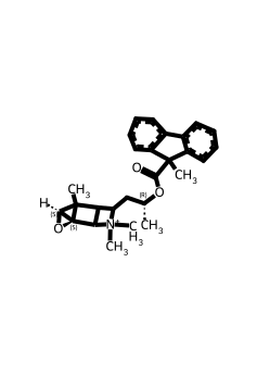 C[C@H](CC1C2C([C@]34O[C@H]3C24C)[N+]1(C)C)OC(=O)C1(C)c2ccccc2-c2ccccc21